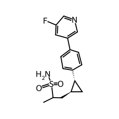 CC(C[C@@H]1C[C@H]1c1ccc(-c2cncc(F)c2)cc1)S(N)(=O)=O